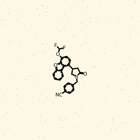 N#Cc1ccc(CN2CC(c3ccc(OC(F)F)c4oc5ccccc5c34)CC2=O)cc1